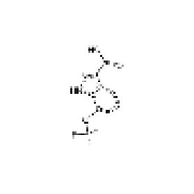 O=C(O)c1n[nH]c2c(OC(F)(F)F)cccc12